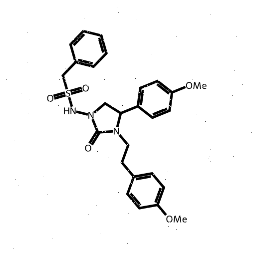 COc1ccc(CCN2C(=O)N(NS(=O)(=O)Cc3ccccc3)CC2c2ccc(OC)cc2)cc1